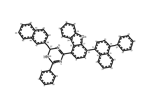 c1ccc(C2=NC(c3ccc(-c4ccc(-c5ccccc5)c5ccccc45)c4oc5ccccc5c34)=NC(c3ccc4ccccc4c3)N2)cc1